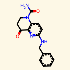 NC(=O)N1CCC(=O)c2nc(NCc3ccccc3)ccc21